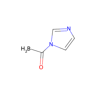 BC(=O)n1ccnc1